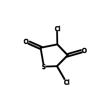 O=C1SC(Cl)C(=O)C1Cl